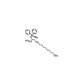 CCCCCCC(C/C=C/CCCCCCCCO)O[Si](c1ccccc1)(c1ccccc1)C(C)(C)C